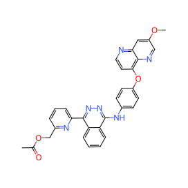 COc1cnc2c(Oc3ccc(Nc4nnc(-c5cccc(COC(C)=O)n5)c5ccccc45)cc3)ccnc2c1